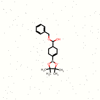 CC1(C)OB(C2=CCC(C(O)OCc3ccccc3)CC2)OC1(C)C